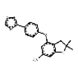 CC1(C)Cc2c(Oc3ccc(-c4ncon4)cc3)cc(C(=O)O)cc2O1